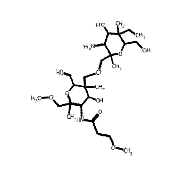 CCC1(C)C(CO)OC(C)(COCC2(C)C(CO)OC(C)(COC)C(NC(=O)CCOC)C2O)C(N)C1O